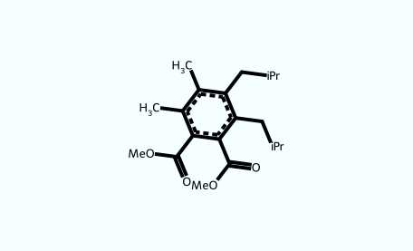 COC(=O)c1c(C)c(C)c(CC(C)C)c(CC(C)C)c1C(=O)OC